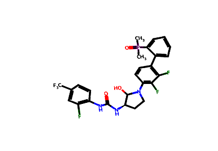 CP(C)(=O)c1ccccc1-c1ccc(N2CC[C@@H](NC(=O)Nc3ccc(C(F)(F)F)cc3F)C2O)c(F)c1F